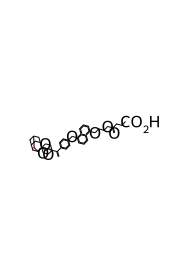 C=C(c1ccc(Oc2cccc3c(OCCOC(=O)CCC(=O)O)cccc23)cc1)C1COC2(OO1)C1CC3CC(C1)CC2C3